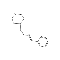 C(=N[CH2][Ir][CH]1CCOCC1)c1ccccc1